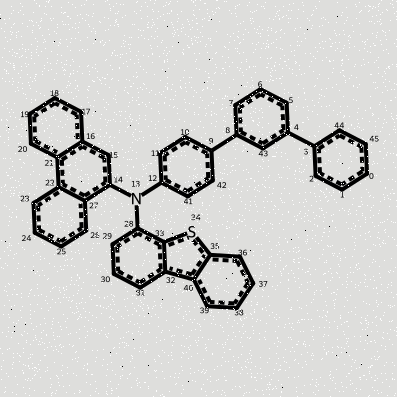 c1ccc(-c2cccc(-c3ccc(N(c4cc5ccccc5c5ccccc45)c4cccc5c4sc4ccccc45)cc3)c2)cc1